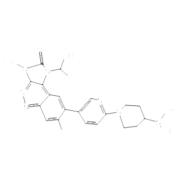 CC(C)n1c(=O)n(C)c2nnc3cc(F)c(-c4ccc(N5CCC(N(C)C)CC5)nc4)cc3c21